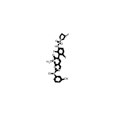 CCN(c1cccc(C#N)c1)c1ncc2cc(-c3c(F)ccc(NS(=O)(=O)N4CC[C@@H](F)C4)c3F)c(=O)n(C)c2n1